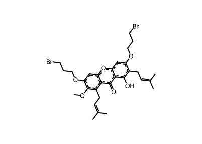 COc1c(OCCCBr)cc2oc3cc(OCCCBr)c(CC=C(C)C)c(O)c3c(=O)c2c1CC=C(C)C